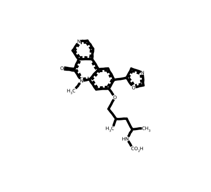 CC(COc1cc2c(cc1-c1cnco1)c1ccncc1c(=O)n2C)CC(C)NC(=O)O